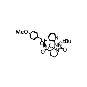 COc1ccc(CONC(=O)C2CCCN(C(=O)OC(C)(C)C)C2(C)Nc2ccccn2)cc1